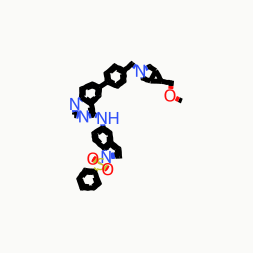 COCC1C2CN(Cc3ccc(-c4ccc5ncnc(Nc6ccc7c(ccn7S(=O)(=O)c7ccccc7)c6)c5c4)cc3)CC12